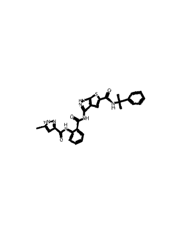 Cc1cc(C(=O)Nc2ccccc2C(=O)Nc2n[nH]c3sc(C(=O)NC(C)(C)c4ccccc4)cc23)n[nH]1